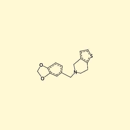 c1cc2c(s1)CCN(Cc1ccc3c(c1)OCO3)C2